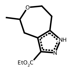 CCOC(=O)c1n[nH]c2c1CC(C)OCC2